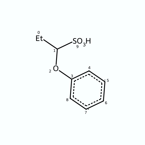 CCC(Oc1c[c]c[c]c1)S(=O)(=O)O